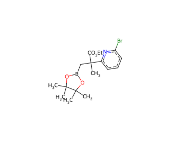 CCOC(=O)C(C)(CB1OC(C)(C)C(C)(C)O1)c1cccc(Br)n1